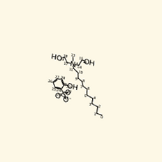 CCCCCCCCCCCC[N+](C)(CCO)CCO.O=S(=O)([O-])c1ccccc1O